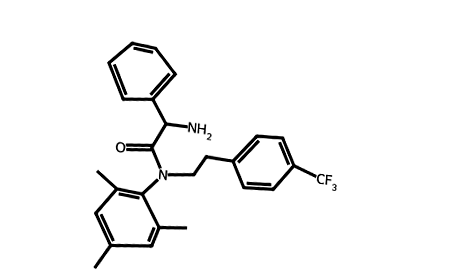 Cc1cc(C)c(N(CCc2ccc(C(F)(F)F)cc2)C(=O)C(N)c2ccccc2)c(C)c1